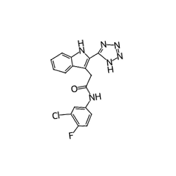 O=C(Cc1c(-c2nnn[nH]2)[nH]c2ccccc12)Nc1ccc(F)c(Cl)c1